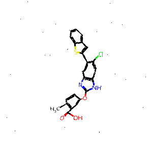 Cc1ccc(Oc2nc3cc(-c4cc5ccccc5s4)c(Cl)cc3[nH]2)cc1C(=O)O